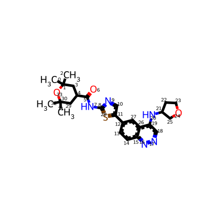 CC1(C)CC(C(=O)Nc2ncc(-c3ccc4nncc(NC5CCOC5)c4c3)s2)CC(C)(C)O1